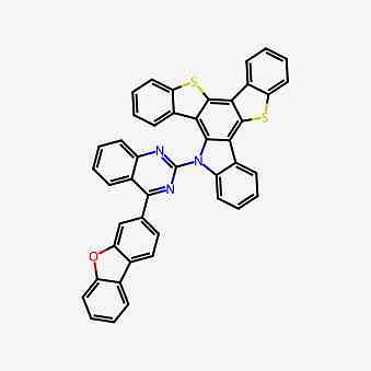 c1ccc2c(-c3ccc4c(c3)oc3ccccc34)nc(-n3c4ccccc4c4c5sc6ccccc6c5c5sc6ccccc6c5c43)nc2c1